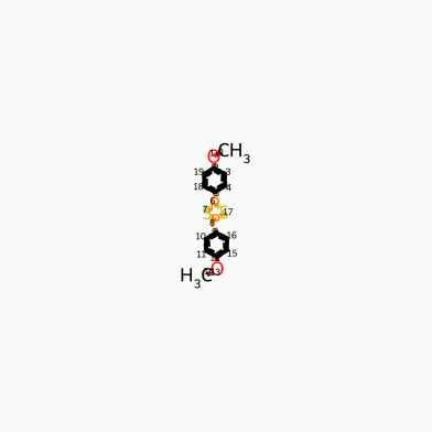 COc1ccc(P2SP(c3ccc(OC)cc3)S2)cc1